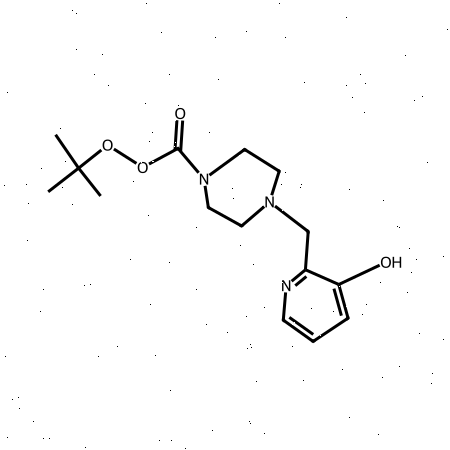 CC(C)(C)OOC(=O)N1CCN(Cc2ncccc2O)CC1